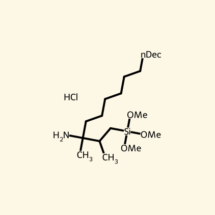 CCCCCCCCCCCCCCCCC(C)(N)C(C)C[Si](OC)(OC)OC.Cl